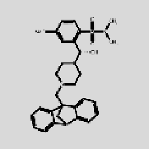 COc1ccc(S(=O)(=O)N(C)C)c([C@H](O)C2CCN(CC34CC(c5ccccc53)c3ccccc34)CC2)c1